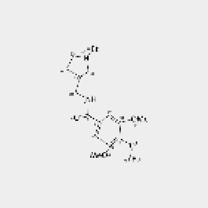 CCCCOc1c(OC)cc(C(=O)NCC2CCN(CC)C2)cc1OC